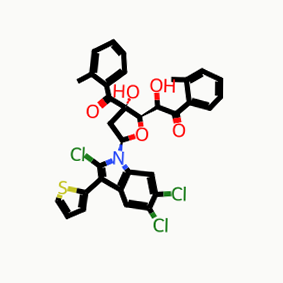 Cc1ccccc1C(=O)C(O)[C@H]1O[C@@H](n2c(Cl)c(-c3cccs3)c3cc(Cl)c(Cl)cc32)C[C@@]1(O)C(=O)c1ccccc1C